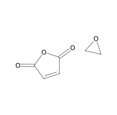 C1CO1.O=C1C=CC(=O)O1